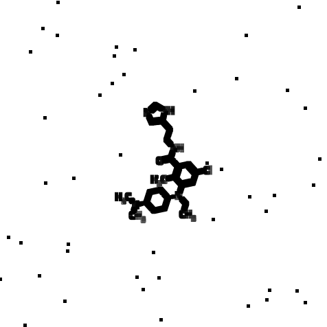 CCN(c1cc(Cl)cc(C(=O)NCCc2cnc[nH]2)c1C)[C@H]1CC[C@H](N(C)C)CC1